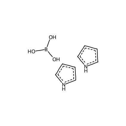 OB(O)O.c1cc[nH]c1.c1cc[nH]c1